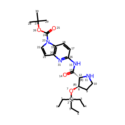 CC[Si](CC)(CC)O[C@@H]1CCN[C@H]1C(=O)Nc1ccc2c(ccn2C(=O)OC(C)(C)C)n1